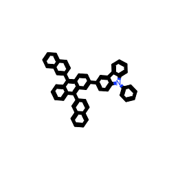 c1ccc(-n2c3ccccc3c3cc(-c4ccc5c(-c6ccc7ccccc7c6)c6ccccc6c(-c6ccc7ccccc7c6)c5c4)ccc32)cc1